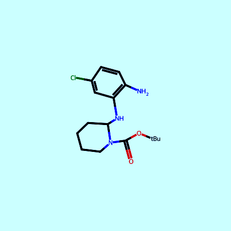 CC(C)(C)OC(=O)N1CCCCC1Nc1cc(Cl)ccc1N